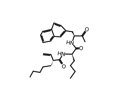 C=C[C@@H](CCCCC)C(=O)N[C@H](CCCC)C(=O)N[C@@H](Cc1ccc2ccccc2c1)C(C)=O